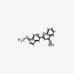 COn1ccc2cc(-c3cc(=NO)c4ccccc4o3)ncc21